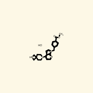 COC(=O)c1ccc(Cn2ccc3c(N4CCC5(CC4)CNC5)ccnc32)cc1.Cl